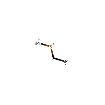 [CH2]C(C)SCC(C)C